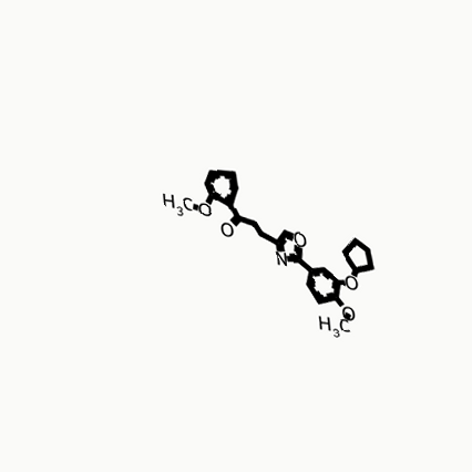 COc1ccc(-c2nc(CCC(=O)c3ccccc3OC)co2)cc1OC1CCCC1